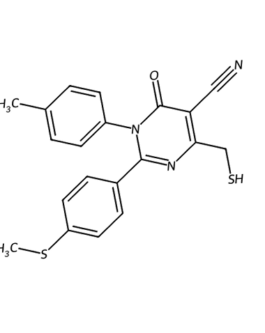 CSc1ccc(-c2nc(CS)c(C#N)c(=O)n2-c2ccc(C)cc2)cc1